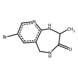 CC1Nc2ncc(Br)cc2CNC1=O